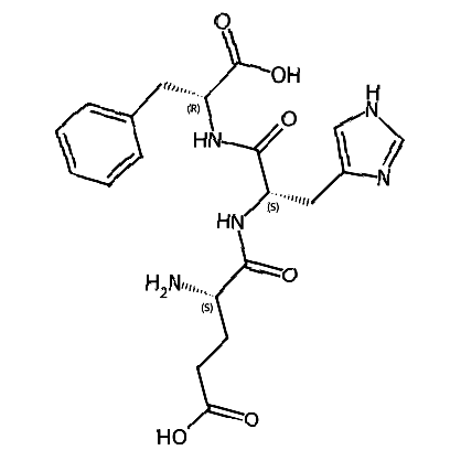 N[C@@H](CCC(=O)O)C(=O)N[C@@H](Cc1c[nH]cn1)C(=O)N[C@H](Cc1ccccc1)C(=O)O